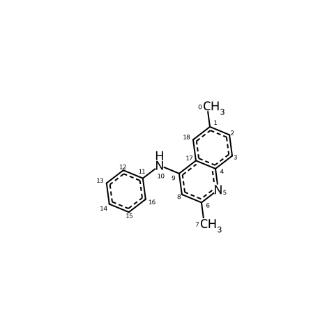 Cc1ccc2nc(C)cc(Nc3ccccc3)c2c1